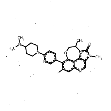 CC1COc2c(-c3ccc(N4CCC(N(C)C)CC4)nc3)c(F)cc3ncc4c(c23)n1c(=O)n4C